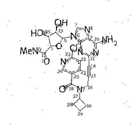 CNC(=O)C1OC(n2cnc3c(N)nc(C#CCN(C(=O)c4ccc(Cl)nc4)C4CCC4)nc32)[C@H](O)[C@@H]1O